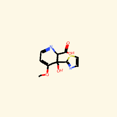 COC1=CC=NC(C(=O)O)C1(O)c1nccs1